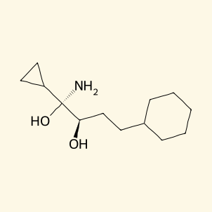 N[C@](O)(C1CC1)[C@H](O)CCC1CCCCC1